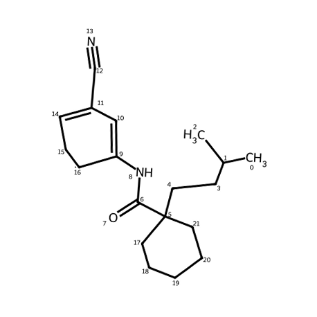 CC(C)CCC1(C(=O)NC2=CC(C#N)=CC[CH]2)CCCCC1